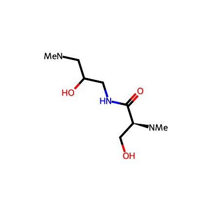 CNCC(O)CNC(=O)[C@H](CO)NC